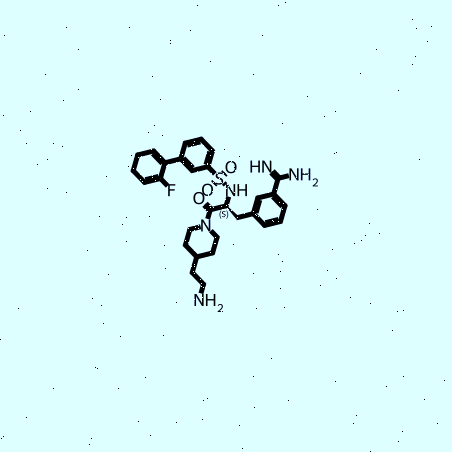 N=C(N)c1cccc(C[C@H](NS(=O)(=O)c2cccc(C3=CCCC=C3F)c2)C(=O)N2CCC(CCN)CC2)c1